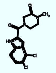 CN1CCN(C(=O)c2cc3c(Cl)c(Cl)ccc3[nH]2)CC1=O